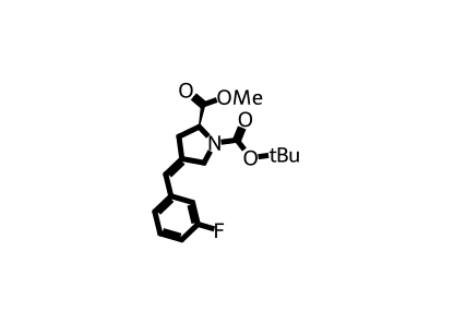 COC(=O)[C@@H]1CC(=Cc2cccc(F)c2)CN1C(=O)OC(C)(C)C